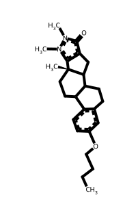 CCCCOc1ccc2c(c1)CCC1C2CC[C@]2(C)c3c(c(=O)n(C)n3C)CC12